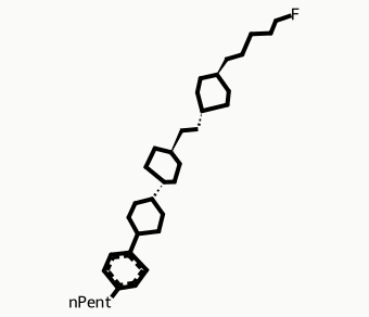 CCCCCc1ccc(C2CCC([C@H]3CC[C@H](CC[C@H]4CC[C@H](CCCCCF)CC4)CC3)CC2)cc1